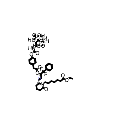 CCOC(=O)CCCCCCN1C(=O)CCC[C@@H]1/C=C/[C@@H](OC(=O)Cc1ccc(OC(=O)NCCC(O)(P(=O)(O)O)P(=O)(O)O)cc1)C(F)(F)c1ccccc1